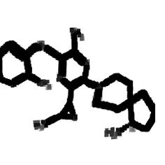 Nc1nc(N2CCC3(CCC[C@@H]3N)CC2)c(C2OC2N)nc1Sc1cccnc1C(F)(F)F